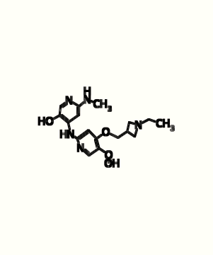 CCN1CC(COc2cc(Nc3cc(NC)ncc3O)ncc2OO)C1